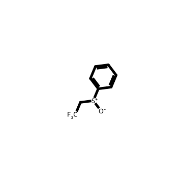 [O-][S+](CC(F)(F)F)c1ccccc1